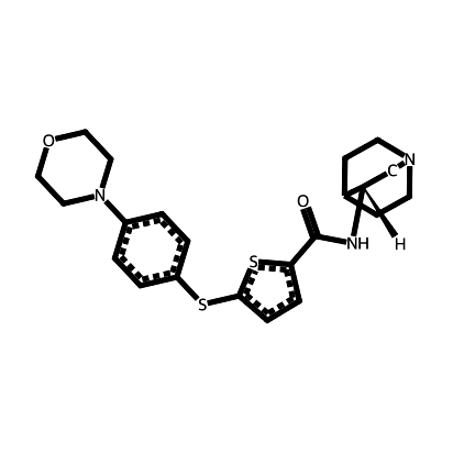 O=C(N[C@H]1CN2CCC1CC2)c1ccc(Sc2ccc(N3CCOCC3)cc2)s1